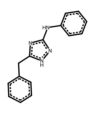 c1ccc(Cc2nc(Nc3ccccc3)n[nH]2)cc1